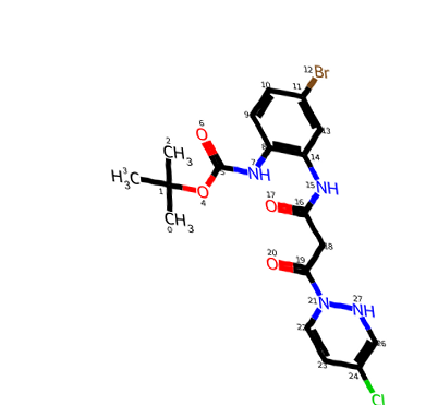 CC(C)(C)OC(=O)Nc1ccc(Br)cc1NC(=O)CC(=O)N1C=CC(Cl)=CN1